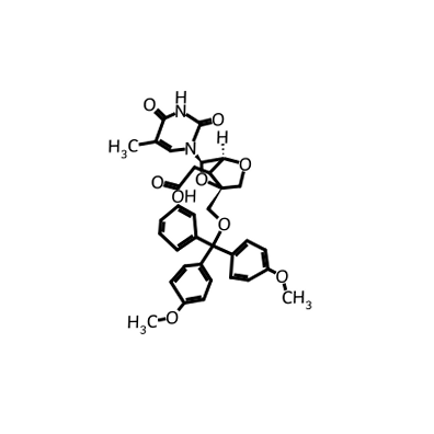 COc1ccc(C(OC[C@]23CO[C@@H](C2CC(=O)O)[C@H](n2cc(C)c(=O)[nH]c2=O)O3)(c2ccccc2)c2ccc(OC)cc2)cc1